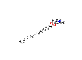 CCCCCCCCCCCCCCCCCCCC(=O)OCC[N+](C)(C)C